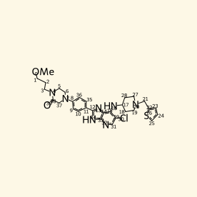 COCCCN1CCN(c2ccc(-c3nc4c(NC5CCN(Cc6cccs6)CC5)c(Cl)cnc4[nH]3)cc2)CC1=O